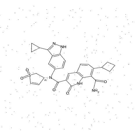 NC(=O)c1c(C2CCC2)ccc2cc(C(=O)N(c3ccc4[nH]nc(C5CC5)c4c3)[C@@H]3C=CS(=O)(=O)C3)c(=O)[nH]c12